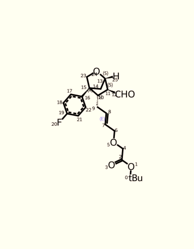 CC(C)(C)OC(=O)COC/C=C/C[C@H]1[C@H](C=O)[C@@H]2C[C@@]1(c1ccc(F)cc1)CO2